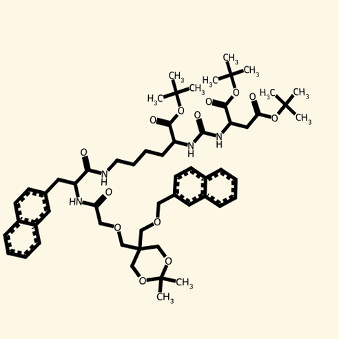 CC(C)(C)OC(=O)CC(NC(=O)NC(CCCCNC(=O)C(Cc1ccc2ccccc2c1)NC(=O)COCC1(COCc2ccc3ccccc3c2)COC(C)(C)OC1)C(=O)OC(C)(C)C)C(=O)OC(C)(C)C